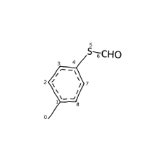 Cc1ccc(SC=O)cc1